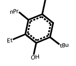 CCCc1c(C)cc(C(C)(C)C)c(O)c1CC